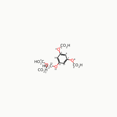 O=C(O)OC(=O)O.O=C(O)Oc1cc(OC(=O)O)cc(OC(=O)O)c1